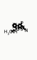 CNCC[C@H](Oc1ccc(F)c2cc(C#N)sc12)c1ccccc1